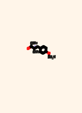 [CH2]OC(=O)/C(=C/c1ccc(OS(=O)(=O)O)cc1)OC